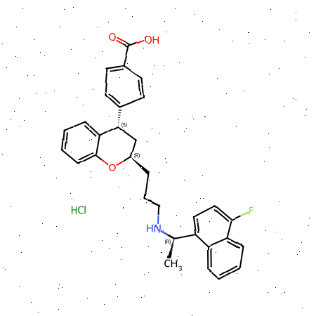 C[C@@H](NCCC[C@@H]1C[C@@H](c2ccc(C(=O)O)cc2)c2ccccc2O1)c1ccc(F)c2ccccc12.Cl